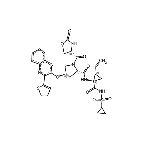 C=C[C@@H]1C[C@]1(NC(=O)[C@@H]1C[C@@H](Oc2nc3ccccc3nc2C2=CCCS2)CN1C(=O)[C@@H]1COC(=O)N1)C(=O)NS(=O)(=O)C1CC1